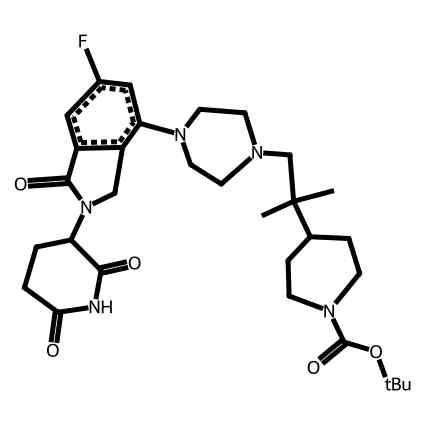 CC(C)(C)OC(=O)N1CCC(C(C)(C)CN2CCN(c3cc(F)cc4c3CN(C3CCC(=O)NC3=O)C4=O)CC2)CC1